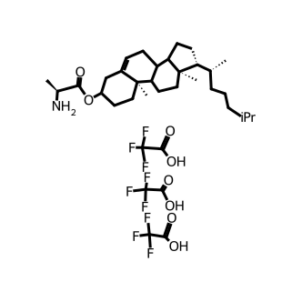 CC(C)CCC[C@@H](C)[C@H]1CCC2C3CC=C4CC(OC(=O)[C@H](C)N)CC[C@]4(C)C3CC[C@@]21C.O=C(O)C(F)(F)F.O=C(O)C(F)(F)F.O=C(O)C(F)(F)F